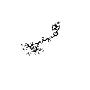 CC[C@H](C)[C@H](N)C(=O)OCC(COC(=O)CCC(=O)OC[C@@H]1CC[C@H](n2cnc3c(O)ncnc32)O1)OC(=O)[C@@H](N)[C@@H](C)CC